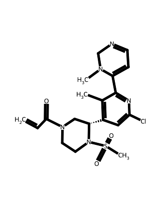 C=CC(=O)N1CCN(S(C)(=O)=O)[C@@H](c2cc(Cl)nc(C3=CC=NCN3C)c2C)C1